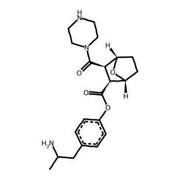 CC(N)Cc1ccc(OC(=O)[C@H]2[C@@H](C(=O)N3CCNCC3)[C@@H]3CC[C@H]2O3)cc1